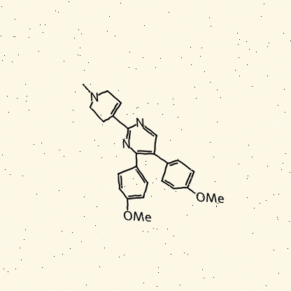 COc1ccc(-c2cnc(C3=CCN(C)CC3)nc2-c2ccc(OC)cc2)cc1